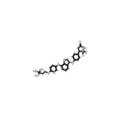 CC(C)(O)CCOc1ccc(Oc2cccc3c2OC[C@H]3Oc2ccc(C3CC(=O)NS3(=O)=O)cc2)cn1